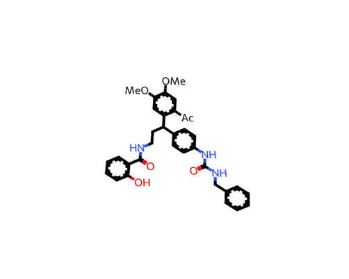 COc1cc(C(C)=O)c(C(CCNC(=O)c2ccccc2O)c2ccc(NC(=O)NCc3ccccc3)cc2)cc1OC